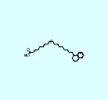 O=C(O)CCCCCCC/C=C\CCCCCCCCC1CCCc2ccccc21